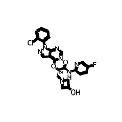 O=C(Nc1ccc(F)cn1)[C@H](CN1CC(O)C1)Oc1ncnc2c1cnn2-c1ccccc1Cl